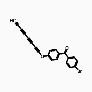 C#CC#CC#CC#COc1ccc(C(=O)c2ccc(Br)cc2)cc1